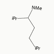 CNC(CCC(C)C)C(C)C